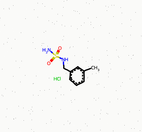 Cc1cccc(CNS(N)(=O)=O)c1.Cl